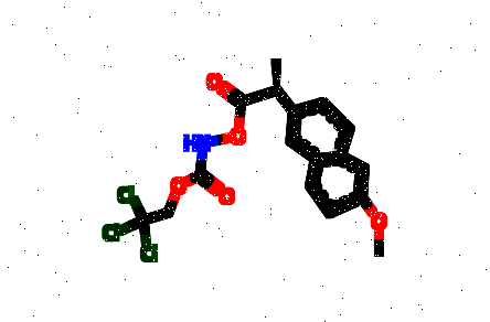 COc1ccc2cc([C@H](C)C(=O)ONC(=O)OCC(Cl)(Cl)Cl)ccc2c1